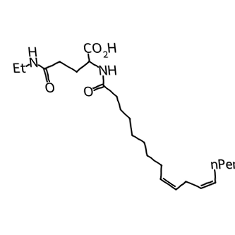 CCCCC/C=C\C/C=C\CCCCCCCC(=O)NC(CCC(=O)NCC)C(=O)O